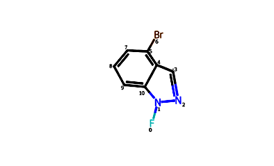 Fn1n[c]c2c(Br)cccc21